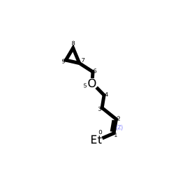 CC/C=C\CCOCC1CC1